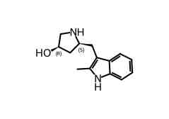 Cc1[nH]c2ccccc2c1C[C@H]1C[C@@H](O)CN1